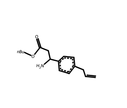 C=CCc1ccc(C(N)CC(=O)OCCCC)cc1